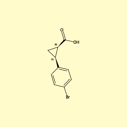 O=C(O)[C@@H]1C[C@@H]1c1ccc(Br)cc1